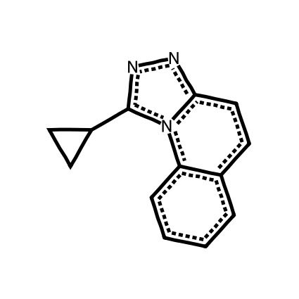 c1ccc2c(c1)ccc1nnc(C3CC3)n12